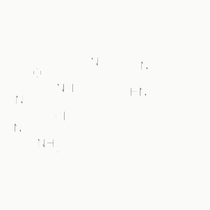 Nc1ncnc(C(=O)NCc2ccc(-c3ncc(-c4ccccc4)[nH]3)cn2)c1Cl